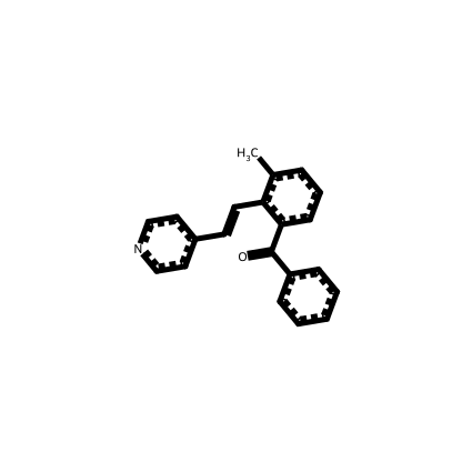 Cc1cccc(C(=O)c2ccccc2)c1/C=C/c1ccncc1